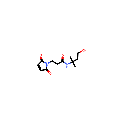 CC(C)(CCO)NC(=O)CCN1C(=O)C=CC1=O